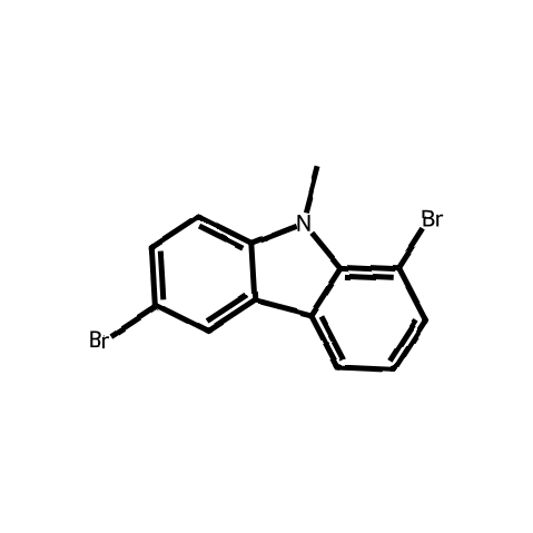 Cn1c2ccc(Br)cc2c2cccc(Br)c21